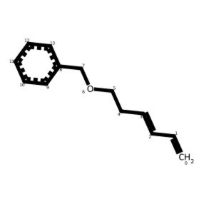 C=CC=CCCOCc1ccccc1